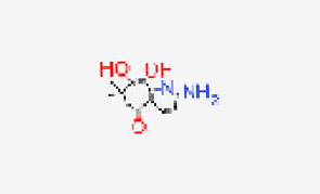 CC1(C)CC(=O)c2ccc(N)nc2C(O)=C1O